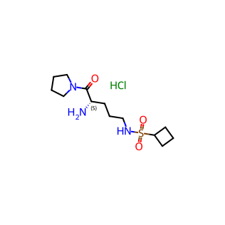 Cl.N[C@@H](CCCNS(=O)(=O)C1CCC1)C(=O)N1CCCC1